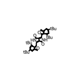 CC(C)(C)c1cc(C(C)(C)C)c2c(C3=C4C(=O)NC(c5occ6cc(C(C)(C)C)cc(C(C)(C)C)c56)=C4C(=O)N3)occ2c1